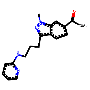 COC(=O)c1ccc2c(CCCNc3ccccn3)nn(C)c2c1